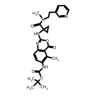 Cc1c(NC(=O)OC(C)(C)C)ccc2nc(NC3(C(=O)N(C)CCc4cccnc4)CC3)oc(=O)c12